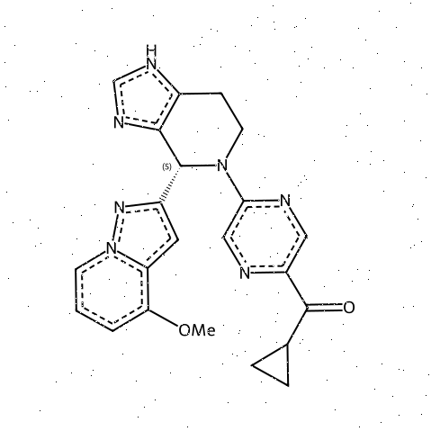 COc1cccn2nc([C@@H]3c4nc[nH]c4CCN3c3cnc(C(=O)C4CC4)cn3)cc12